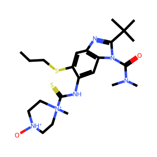 CCCSc1cc2nc(C(C)(C)C)n(C(=O)N(C)C)c2cc1NC(=S)[N+]1(C)CC[NH+]([O-])CC1